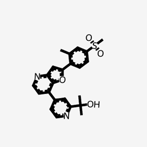 Cc1cc(S(C)(=O)=O)ccc1-c1cc2nccc(-c3ccnc(C(C)(C)O)c3)c2o1